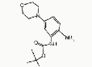 CC(C)(C)OC(=O)Nc1cc(N2CCOCC2)ccc1N